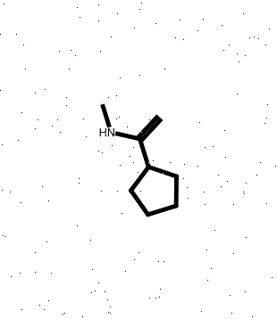 C=C(NC)C1CCCC1